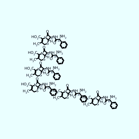 CC1=C(C(=O)O)N2C(=O)[C@@H](NC(=O)[C@H](N)c3ccccc3)[C@H]2SC1.CC1=C(C(=O)O)N2C(=O)[C@@H](NC(=O)[C@H](N)c3ccccc3)[C@H]2SC1.CC1=C(C(=O)O)N2C(=O)[C@@H](NC(=O)[C@H](N)c3ccccc3)[C@H]2SC1.CC1=C(C(=O)O)N2C(=O)[C@@H](NC(=O)[C@H](N)c3ccccc3)[C@H]2SC1.CC1=C(C(=O)O)N2C(=O)[C@@H](NC(=O)[C@H](N)c3ccccc3)[C@H]2SC1.CC1=C(C(=O)O)N2C(=O)[C@@H](NC(=O)[C@H](N)c3ccccc3)[C@H]2SC1